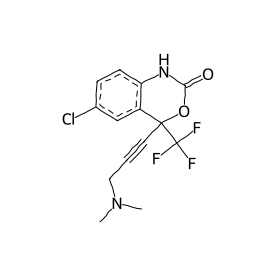 CN(C)CC#CC1(C(F)(F)F)OC(=O)Nc2ccc(Cl)cc21